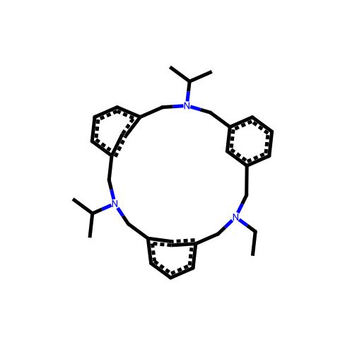 CCN1Cc2cccc(c2)CN(C(C)C)Cc2cccc(c2)CN(C(C)C)Cc2cccc(c2)C1